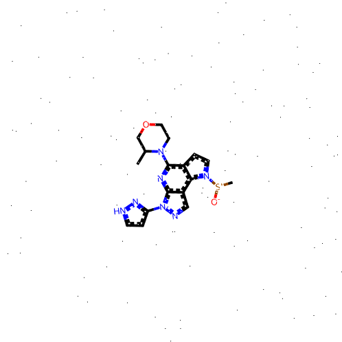 CC1COCCN1c1nc2c(cnn2-c2cc[nH]n2)c2c1ccn2[S+](C)[O-]